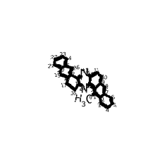 Cc1c2ccccc2cc2ccc3nc4c(ccc5cc6ccccc6cc54)nc3c12